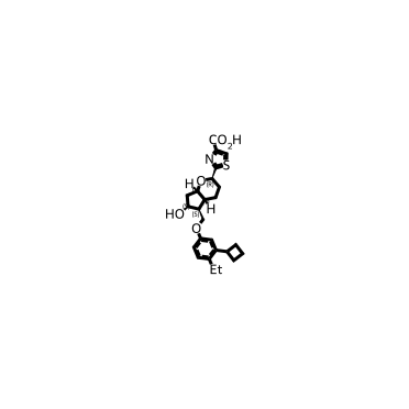 CCc1ccc(OC[C@@H]2[C@H]3CC[C@H](c4nc(C(=O)O)cs4)O[C@H]3C[C@@H]2O)cc1C1CCC1